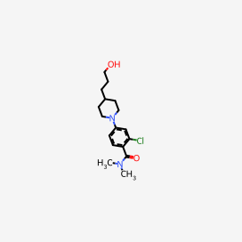 CN(C)C(=O)c1ccc(N2CCC(CCCO)CC2)cc1Cl